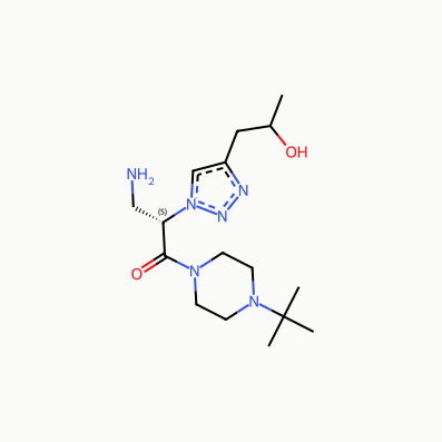 CC(O)Cc1cn([C@@H](CN)C(=O)N2CCN(C(C)(C)C)CC2)nn1